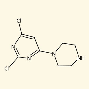 Clc1cc(N2CCNCC2)nc(Cl)n1